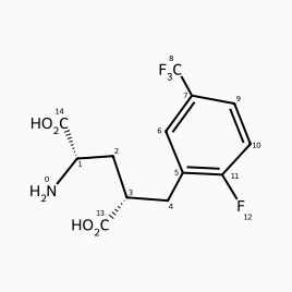 N[C@@H](C[C@H](Cc1cc(C(F)(F)F)ccc1F)C(=O)O)C(=O)O